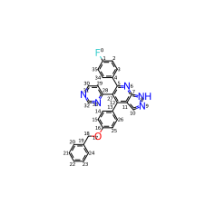 Fc1ccc(-c2nc3[nH]ncc3c(-c3ccc(OCc4ccccc4)cc3)c2-c2ccncn2)cc1